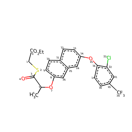 CCOC(=O)CSC(=O)C(C)Oc1ccc2ccc(Oc3ccc(C(F)(F)F)cc3Cl)cc2c1